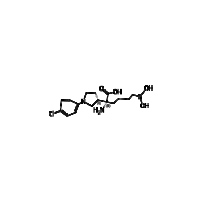 N[C@@](CCCCB(O)O)(C(=O)O)[C@H]1CCN(c2ccc(Cl)cc2)C1